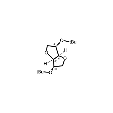 CC(C)(C)O[C@@H]1CO[C@H]2[C@@H]1OC[C@H]2OC(C)(C)C